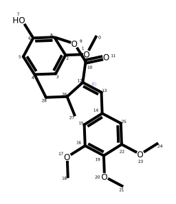 COc1cc2cc(O)c1OC(=O)/C(=C/c1cc(OC)c(OC)c(OC)c1)C(C)C2